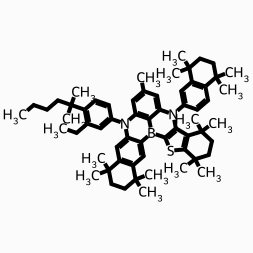 CCCCC(C)(C)c1ccc(N2c3cc4c(cc3B3c5sc6c(c5N(c5ccc7c(c5)C(C)(C)CCC7(C)C)c5cc(C)cc2c53)C(C)(C)CCC6(C)C)C(C)(C)CCC4(C)C)cc1CC